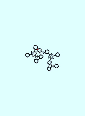 c1ccc(-c2nc(-c3cccc(-n4c5ccccc5c5c4ccc4c6ccccc6n(-c6nc(-c7ccccc7)nc(-c7ccccc7)n6)c45)c3)nc(-c3ccc4c5ccccc5n(-c5ccccc5)c4c3)n2)cc1